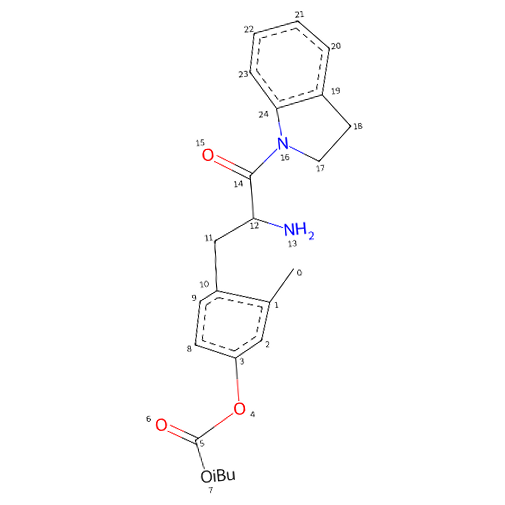 Cc1cc(OC(=O)OCC(C)C)ccc1CC(N)C(=O)N1CCc2ccccc21